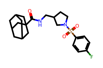 O=C(NCC1CCN(S(=O)(=O)c2ccc(F)cc2)C1)C12CC3CC(CC(C3)C1)C2